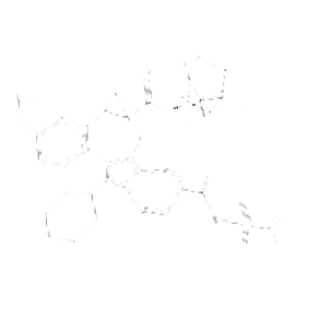 COc1ccc2c(c1)C1CC1(C(=O)O[C@@H]1C[C@@H]3CC[C@@]1(C)C3(C)C)Cn1c-2c(C2CCCCC2)c2ccc(C(=O)NS(=O)(=O)N(C)C)cc21